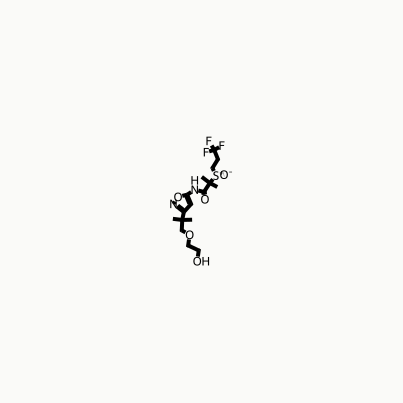 CC(C)(COCCO)c1cc(NC(=O)C(C)(C)[S+]([O-])CCC(F)(F)F)on1